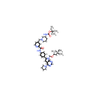 CC(C)(C)OC(=O)N[C@@H]1CCCN(Cc2ccnc(C(=O)Nc3ccc(-c4cc5c(N6CCCC6)ncnc5n4COCC[Si](C)(C)C)cc3)c2)C1